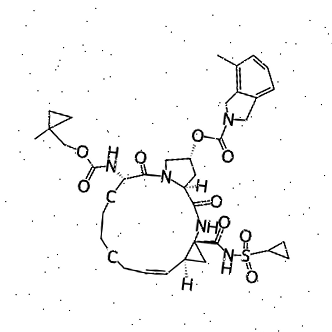 Cc1cccc2c1CN(C(=O)O[C@@H]1C[C@H]3C(=O)N[C@]4(C(=O)NS(=O)(=O)C5CC5)C[C@H]4/C=C\CCCCC[C@H](NC(=O)OCC4(C)CC4)C(=O)N3C1)C2